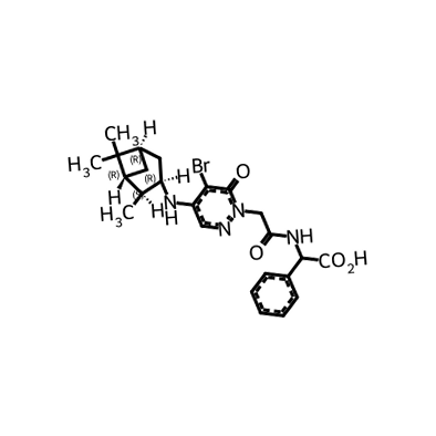 C[C@H]1[C@H]2C[C@H](C[C@H]1Nc1cnn(CC(=O)NC(C(=O)O)c3ccccc3)c(=O)c1Br)C2(C)C